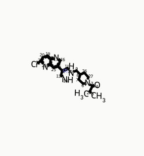 CC(C)C(=O)N1CCC(CN/C=C(\C=N)c2cnc3ccc(Cl)nc3c2)CC1